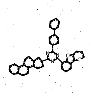 c1ccc(-c2ccc(-c3nc(-c4ccc5c(ccc6c7ccccc7ccc56)c4)nc(-c4cccc5c4oc4ccccc45)n3)cc2)cc1